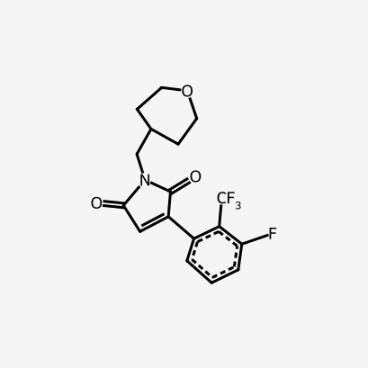 O=C1C=C(c2cccc(F)c2C(F)(F)F)C(=O)N1CC1CCOCC1